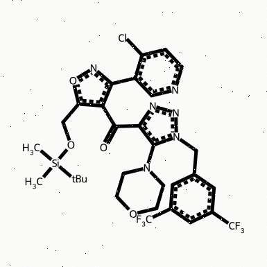 CC(C)(C)[Si](C)(C)OCc1onc(-c2cnccc2Cl)c1C(=O)c1nnn(Cc2cc(C(F)(F)F)cc(C(F)(F)F)c2)c1N1CCOCC1